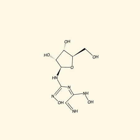 N=C/C(=N\C(=N/O)N[C@@H]1O[C@H](CO)[C@@H](O)[C@H]1O)NO